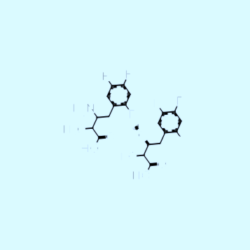 CC(C(=O)O)C(=C=O)Cc1cc(F)c(F)cc1F.CC(C(=O)O)C(N)Cc1cc(F)c(F)cc1F